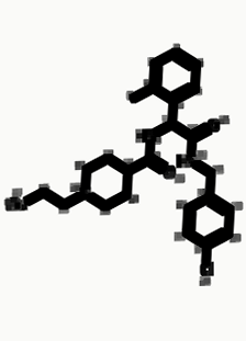 Cc1ccccc1C(NC(=O)C1CCN(CCC(C)(C)C)CC1)C(=O)NCc1ccc(Cl)cc1